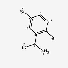 CCC(N)c1cc(Br)cnc1C